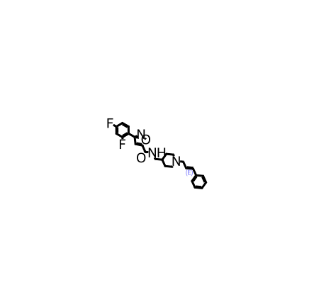 O=C(NCC1CCN(C/C=C/c2ccccc2)CC1)c1cc(-c2ccc(F)cc2F)no1